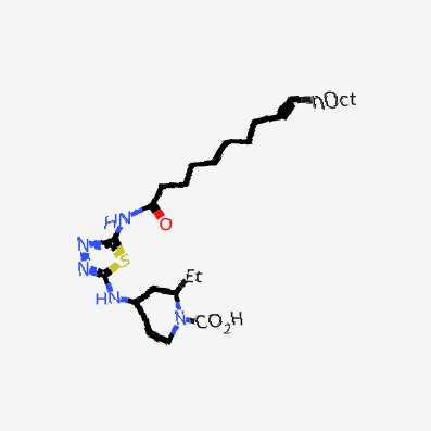 CCCCCCCCC=CCCCCCCCC(=O)Nc1nnc(NC2CCN(C(=O)O)C(CC)C2)s1